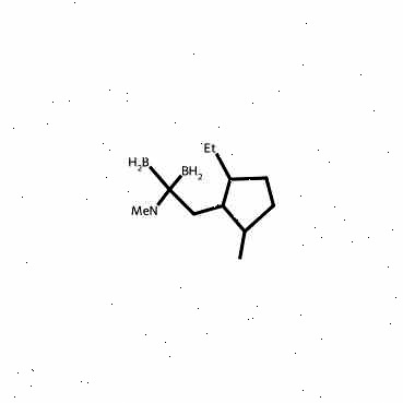 BC(B)(CC1C(C)CCC1CC)NC